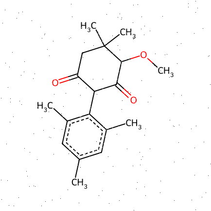 COC1C(=O)C(c2c(C)cc(C)cc2C)C(=O)CC1(C)C